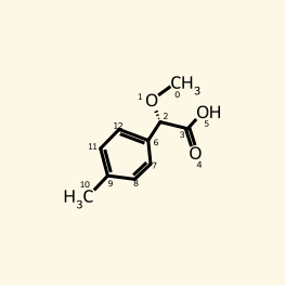 CO[C@H](C(=O)O)c1ccc(C)cc1